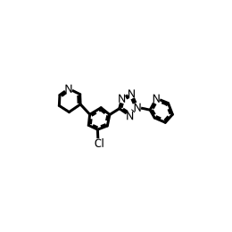 Clc1cc(C2=CN=CCC2)cc(-c2nnn(-c3ccccn3)n2)c1